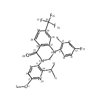 COc1ccc(N2CN(c3ccc(F)cc3C)c3cc(C(F)(F)F)ccc3C2=O)c(C(C)C)n1